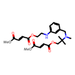 COC(=O)/C=C/C(=O)OCCNc1cccc(CN(C)C(C)(C)COC(=O)/C=C/C(=O)OC)c1